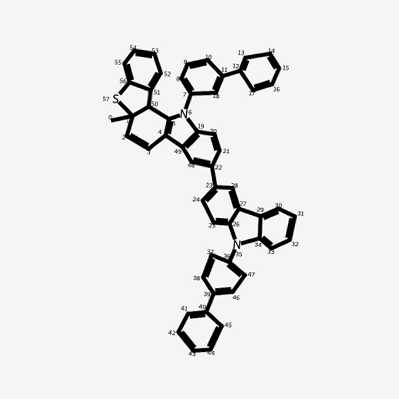 CC12C=Cc3c(n(-c4cccc(-c5ccccc5)c4)c4ccc(-c5ccc6c(c5)c5ccccc5n6-c5ccc(-c6ccccc6)cc5)cc34)C1c1ccccc1S2